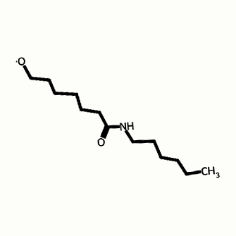 CCCCCCNC(=O)CCCCCC[O]